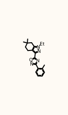 CCn1nc(-c2nc(-c3ccccc3C)no2)c2c1CC(C)(C)CC2